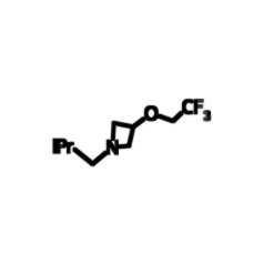 CC(C)CN1CC(OCC(F)(F)F)C1